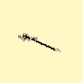 CCCCCCCCCCCCCCCCOCC(O)COC(=O)CC(C[N+](C)(C)C)OC(C)=O